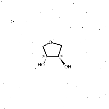 O[C@@H]1COC[C@H]1O